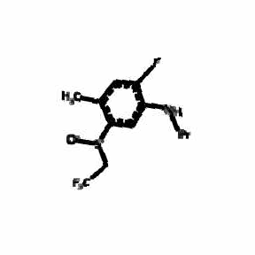 Cc1cc(F)c(NC(C)C)cc1[S+]([O-])CC(F)(F)F